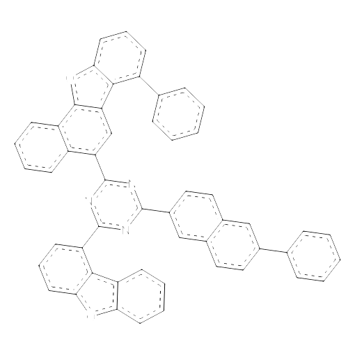 c1ccc(-c2ccc3cc(-c4nc(-c5cc6c(oc7cccc(-c8ccccc8)c76)c6ccccc56)nc(-c5cccc6oc7ccccc7c56)n4)ccc3c2)cc1